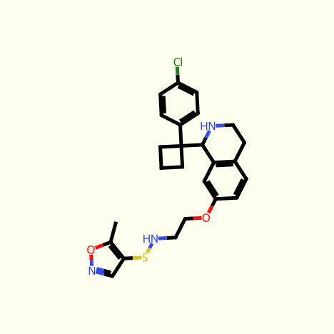 Cc1oncc1SNCCOc1ccc2c(c1)C(C1(c3ccc(Cl)cc3)CCC1)NCC2